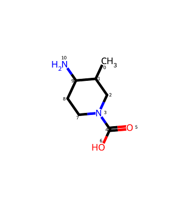 CC1CN(C(=O)O)CCC1N